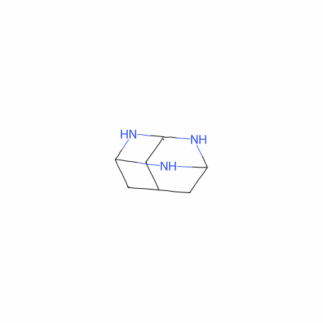 C1[C]2NC3CC1CC(N2)N3